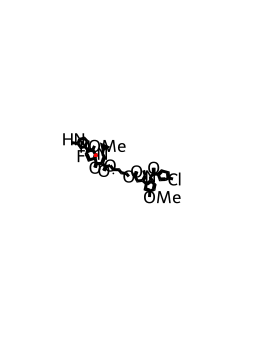 COc1ccc2c(c1)c(CC(=O)OCCC[CH]OC(=O)c1cn(C3CC3)c3c(OC)c(N4CCNC(C)C4)c(F)cc3c1=O)c(C)n2C(=O)c1ccc(Cl)cc1